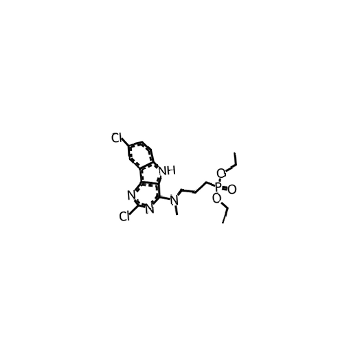 CCOP(=O)(CCCN(C)c1nc(Cl)nc2c1[nH]c1ccc(Cl)cc12)OCC